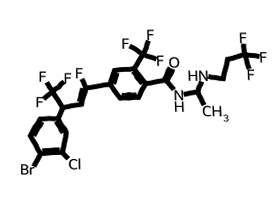 CC(NCCC(F)(F)F)NC(=O)c1ccc(/C(F)=C/C(c2ccc(Br)c(Cl)c2)C(F)(F)F)cc1C(F)(F)F